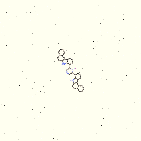 I[n+]1c(-c2cccc3c2[nH]c2ccc4ccccc4c23)cncc1-c1cccc2c1[nH]c1ccc3ccccc3c12